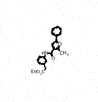 CCOC(=O)Cc1cccc(NC(=O)c2cc(-c3ccccc3)oc2C)c1